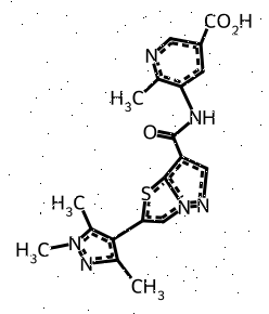 Cc1ncc(C(=O)O)cc1NC(=O)c1cnn2cc(-c3c(C)nn(C)c3C)sc12